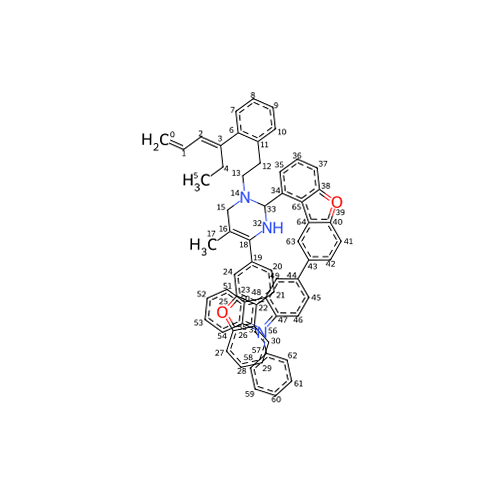 C=C/C=C(\CC)c1ccccc1CCN1CC(C)=C(c2ccc3c(c2)oc2ccccc23)NC1c1cccc2oc3ccc(-c4ccc5c(c4)c4ccccc4n5-c4ccccc4)cc3c12